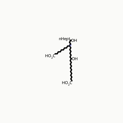 CCCCCCC[C@@H](O)C/C=C(\CCCCCCCCCC(=O)O)CCCCCCC(O)CCCCCCCCCCCCC(=O)O